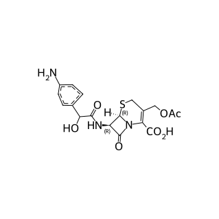 CC(=O)OCC1=C(C(=O)O)N2C(=O)[C@@H](NC(=O)C(O)c3ccc(N)cc3)[C@H]2SC1